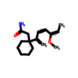 C=C(/C=C\C(=C/C)OC)C1(CC(N)=O)CCCCC1